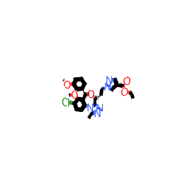 CCOC(=O)c1cnn(CC[C@H]2O[C@H](c3cccc(OC)c3OC)c3cc(Cl)ccc3-n3c(C)nnc32)c1